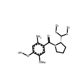 CCCOc1cc(N)c(C(=O)N2CCC[C@H]2C(SCC)SCC)cc1OC